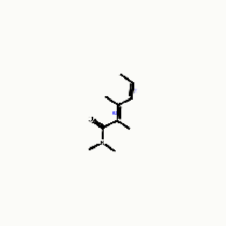 C/C=C\C(C)=C(/C)C(=O)N(C)C